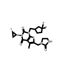 Cc1c(CN2CCNC2=O)sc2c1c(=O)n([C@H]1C[C@@H]1C)c(=O)n2CC1CCC(F)(F)C1